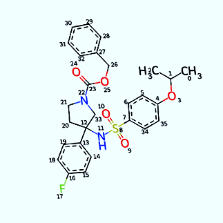 CC(C)Oc1ccc(S(=O)(=O)NC2(c3ccc(F)cc3)CCN(C(=O)OCc3ccccc3)C2)cc1